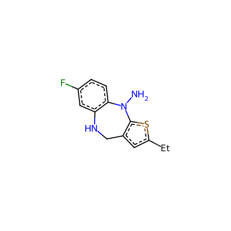 CCc1cc2c(s1)N(N)c1ccc(F)cc1NC2